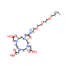 CCCOCCOCCOCCNC(=O)CN1CCN(CC(=O)O)CCN(CC(=O)O)CCN(CC(=O)O)CC1